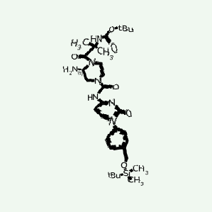 CC(C)(C)OC(=O)NC(C)(C)C(=O)N1CCN(C(=O)Nc2ccn(-c3ccc(CO[Si](C)(C)C(C)(C)C)cc3)c(=O)n2)C[C@H]1N